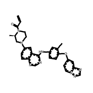 C=CC(=O)N1CCN(c2ccc3ncnc(Nc4ccc(Oc5ccn6ncnc6c5)c(C)c4)c3c2)C[C@H]1C